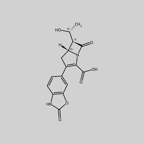 C[C@@H](O)[C@H]1C(=O)N2C(C(=O)O)=C(c3ccc4[nH]c(=O)oc4c3)C[C@H]12